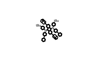 CC(C)(C)c1ccc(N(c2ccc(-c3ccccc3)cc2)c2c3ccc(C45CC6CC(CC(C6)C4)C5)cc3c(N(c3ccc(-c4ccccc4)cc3)c3ccc(C(C)(C)C)cc3)c3ccc(C45CC6CC(CC(C6)C4)C5)cc23)cc1